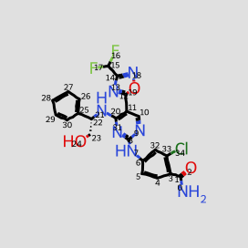 NC(=O)c1ccc(Nc2ncc(-c3nc(C(F)F)no3)c(N[C@H](CO)c3ccccc3)n2)cc1Cl